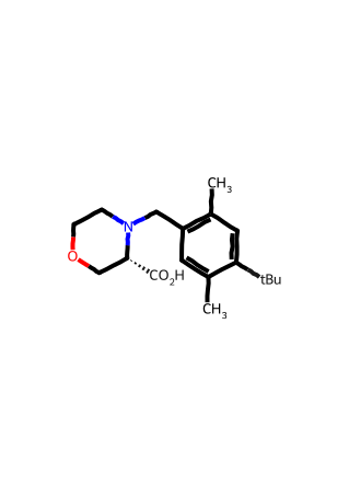 Cc1cc(C(C)(C)C)c(C)cc1CN1CCOC[C@H]1C(=O)O